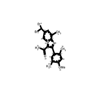 CCC(CC)c1cc(C)c2nc(-c3cc(C)c(OC)cc3C)c(C(N)=O)n2c1